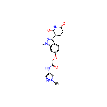 CC(C)n1cc(NC(=O)COc2ccc3c(C4CCC(=O)NC4=O)nn(C)c3c2)cn1